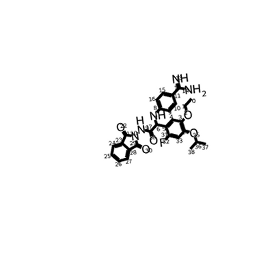 CCOc1cc(C(Nc2ccc(C(=N)N)cc2)C(=O)NN2C(=O)c3ccccc3C2=O)c(F)cc1OC(C)C